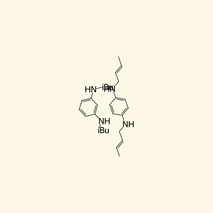 C/C=C/CNc1ccc(NC/C=C/C)cc1.CCC(C)Nc1cccc(NC(C)CC)c1